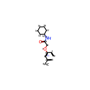 C=C/C(=C\C(=C)C(C)=O)OCC(=O)NC1CCCCC1